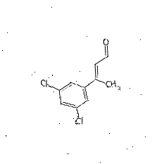 CC(=CC=O)c1cc(Cl)cc(Cl)c1